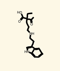 CCC(CCCNCCc1c[nH]c2ccccc12)(C(C)=O)C(=O)O